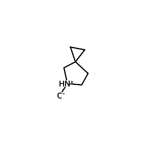 [CH2-][NH+]1CCC2(CC2)C1